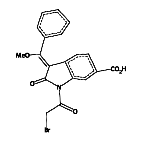 COC(=C1C(=O)N(C(=O)CBr)c2cc(C(=O)O)ccc21)c1ccccc1